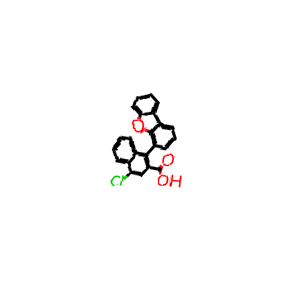 O=C(O)c1cc(Cl)c2ccccc2c1-c1cccc2c1oc1ccccc12